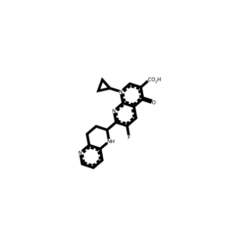 O=C(O)c1cn(C2CC2)c2nc(C3CCc4ncccc4N3)c(F)cc2c1=O